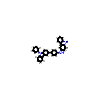 Cn1c2ccccc2c2cc(Nc3ccc(-c4ccc5c(c4)c4ccccc4n5-c4ccccc4)cc3)ccc21